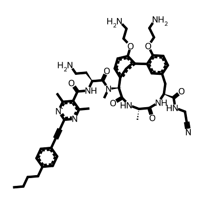 CCCCc1ccc(C#Cc2nc(C)c(C(=O)N[C@@H](CCN)C(=O)N(C)[C@@H]3C(=O)N[C@@H](C)C(=O)N[C@H](C(=O)NCC#N)Cc4ccc(OCCN)c(c4)-c4cc3ccc4OCCN)c(C)n2)cc1